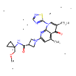 CCOCC1(NC(=O)C2CN(c3cc(C)c4c(=O)c(C(=O)O)cn(-c5ncns5)c4n3)C2)CC1